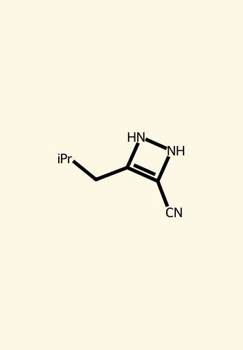 CC(C)Cc1[nH][nH]c1C#N